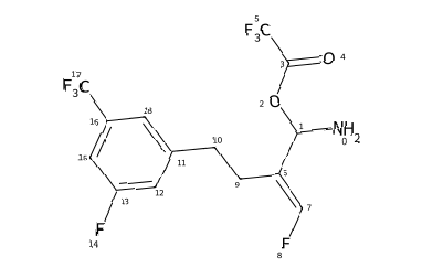 NC(OC(=O)C(F)(F)F)/C(=C/F)CCc1cc(F)cc(C(F)(F)F)c1